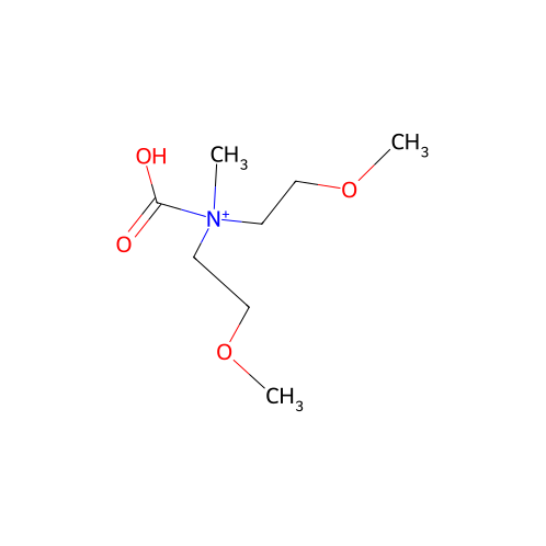 COCC[N+](C)(CCOC)C(=O)O